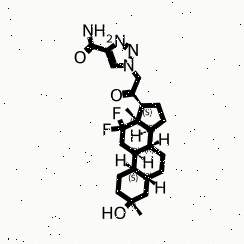 C[C@@]1(O)CC[C@H]2[C@H](CC[C@@H]3[C@@H]2CC(F)(F)[C@]2(C)[C@@H](C(=O)Cn4cc(C(N)=O)nn4)CC[C@@H]32)C1